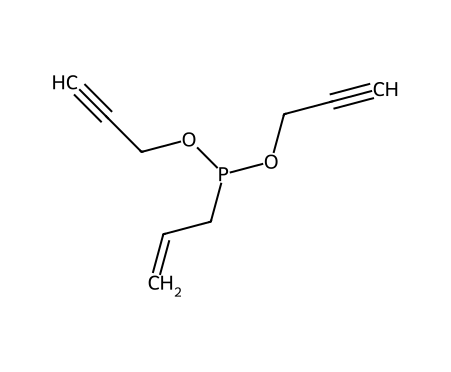 C#CCOP(CC=C)OCC#C